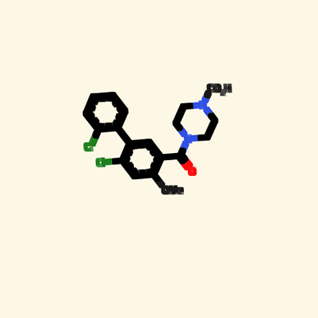 COc1cc(Cl)c(-c2ccccc2Cl)cc1C(=O)N1CCN(C(=O)O)CC1